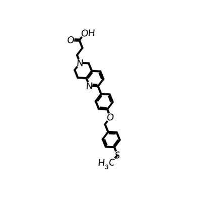 CSc1ccc(COc2ccc(-c3ccc4c(n3)CCN(CCC(=O)O)C4)cc2)cc1